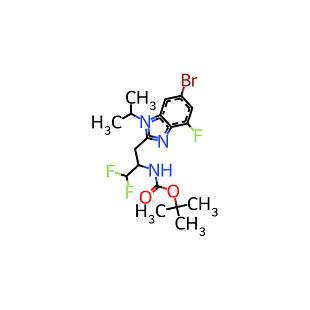 CC(C)n1c(CC(NC(=O)OC(C)(C)C)C(F)F)nc2c(F)cc(Br)cc21